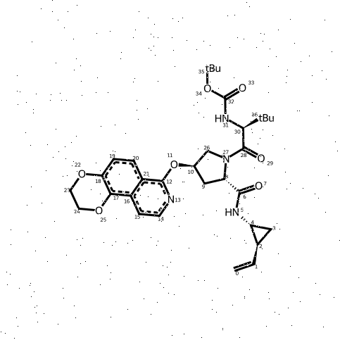 C=C[C@@H]1C[C@H]1NC(=O)[C@@H]1C[C@@H](Oc2nccc3c4c(ccc23)OCCO4)CN1C(=O)[C@@H](NC(=O)OC(C)(C)C)C(C)(C)C